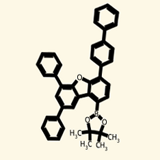 CC1(C)OB(c2ccc(-c3ccc(-c4ccccc4)cc3)c3oc4c(-c5ccccc5)cc(-c5ccccc5)cc4c23)OC1(C)C